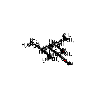 C=Cc1cc(C=C)nc(NCCCC(=O)NCCN(CCNC(=O)CCCNc2nc(C=C)cc(C=C)n2)CC(=O)NCCN(CCNC(=O)CN(CCNC(=O)CCCNc2nc(C=C)cc(C=C)n2)CCNC(=O)CCCNc2nc(C=C)cc(C=C)n2)CC(=O)NCCCNC(=O)CCOCCOCCOCCOCCN=[N+]=[N-])n1